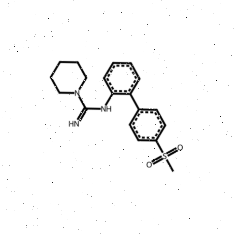 CS(=O)(=O)c1ccc(-c2ccccc2NC(=N)N2CCCCC2)cc1